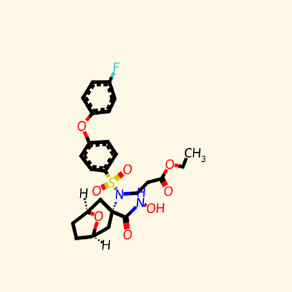 CCOC(=O)CCN([C@]1(C(=O)NO)C[C@H]2CC[C@@H](C1)O2)S(=O)(=O)c1ccc(Oc2ccc(F)cc2)cc1